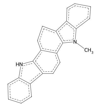 Cn1c2ccccc2c2ccc3c(ccc4c5ccccc5[nH]c43)c21